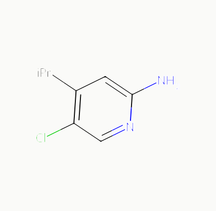 CC(C)c1cc(N)ncc1Cl